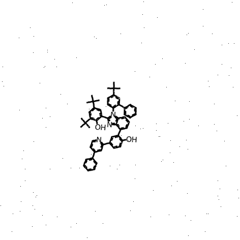 CC(C)(C)c1ccc(-n2c(-c3cc(C(C)(C)C)cc(C(C)(C)C)c3O)nc3c(-c4cc(-c5cc(-c6ccccc6)ccn5)ccc4O)cccc32)c(-c2ccccc2)c1